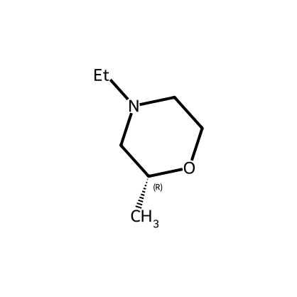 CCN1CCO[C@H](C)C1